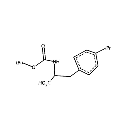 CC(C)c1ccc(CC(NC(=O)OC(C)(C)C)C(=O)O)cc1